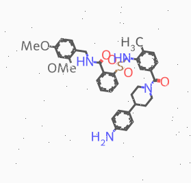 COc1ccc(CNC(=O)c2ccccc2S(=O)(=O)Nc2cc(C(=O)N3CCC(c4ccc(N)cc4)CC3)ccc2C)c(OC)c1